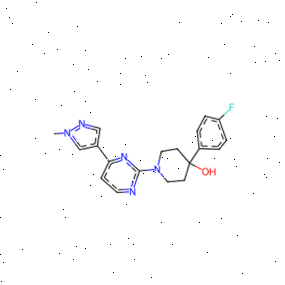 Cn1cc(-c2ccnc(N3CCC(O)(c4ccc(F)cc4)CC3)n2)cn1